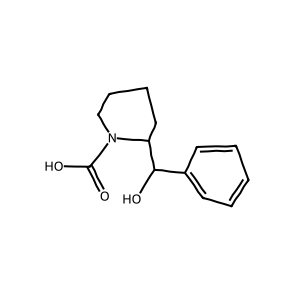 O=C(O)N1CCCCC1C(O)c1ccccc1